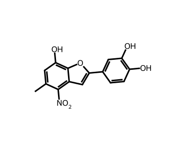 Cc1cc(O)c2oc(-c3ccc(O)c(O)c3)cc2c1[N+](=O)[O-]